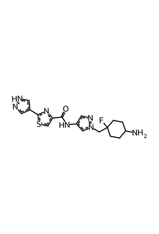 NC1CCC(F)(Cn2cc(NC(=O)c3csc(-c4cn[nH]c4)n3)cn2)CC1